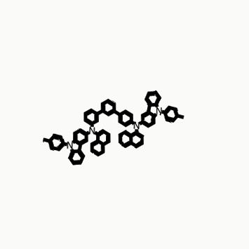 Cc1ccc(-n2c3ccccc3c3cc(N(c4ccc(-c5cccc(-c6cccc(N(c7ccc8c(c7)c7ccccc7n8-c7ccc(C)cc7)c7cccc8ccccc78)c6)c5)cc4)c4cccc5ccccc45)ccc32)cc1